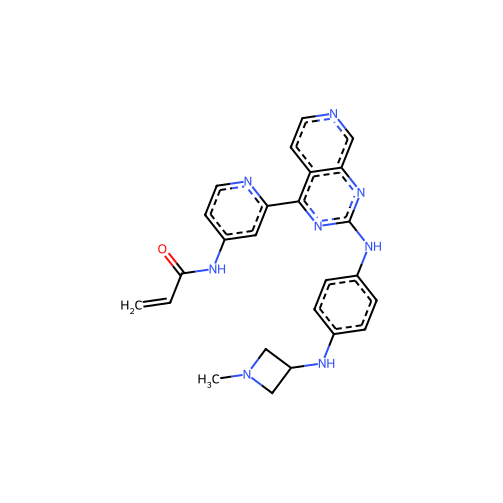 C=CC(=O)Nc1ccnc(-c2nc(Nc3ccc(NC4CN(C)C4)cc3)nc3cnccc23)c1